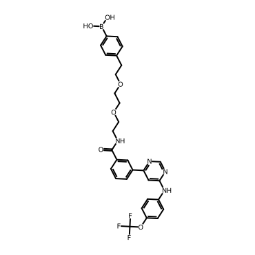 O=C(NCCOCCOCCc1ccc(B(O)O)cc1)c1cccc(-c2cc(Nc3ccc(OC(F)(F)F)cc3)ncn2)c1